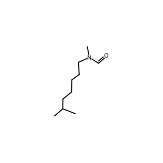 CC(C)CCCCCN(C)C=O